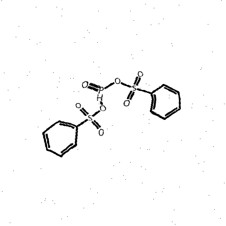 O=[PH](OS(=O)(=O)c1ccccc1)OS(=O)(=O)c1ccccc1